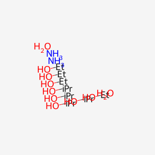 CC(C)O.CC(C)O.CC(C)O.CC(C)O.CCO.CCO.CCO.CCO.N.N.O.O